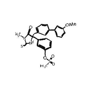 COc1cccc(-c2cccc(C3(c4cccc(OS(C)(=O)=O)c4)NC(=S)N(C)C3=O)c2)c1